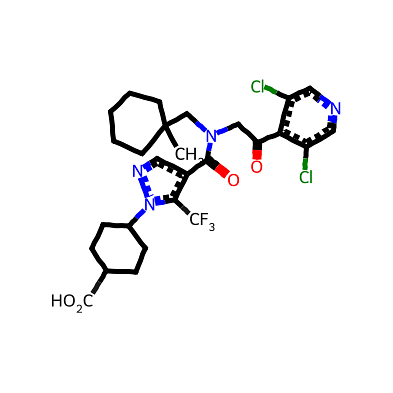 CC1(CN(CC(=O)c2c(Cl)cncc2Cl)C(=O)c2cnn(C3CCC(C(=O)O)CC3)c2C(F)(F)F)CCCCC1